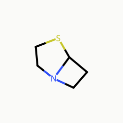 C1CN2CCC2S1